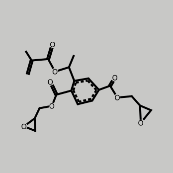 C=C(C)C(=O)OC(C)c1cc(C(=O)OCC2CO2)ccc1C(=O)OCC1CO1